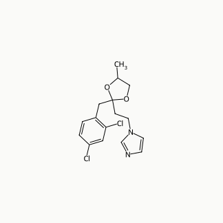 CC1COC(CCn2ccnc2)(Cc2ccc(Cl)cc2Cl)O1